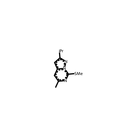 CSc1nc(C)cc2cc(C(C)C)nn12